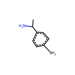 Bc1ccc(C(C)N)cc1